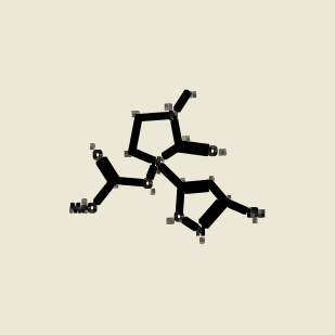 COC(=O)O[N+]1(c2cc(C(C)(C)C)no2)CCN(C)C1=O